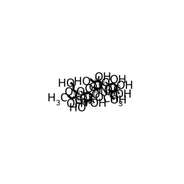 CC(=O)NC1[C@H](O[C@@H]2C(O)[C@H](O[C@@H]3C(CO)OC(C)C(O)[C@@H]3O)OC(CO)[C@@H]2O)OC(CO)[C@@H](O)[C@H]1O[C@@H]1OC(CO)[C@H](O)[C@H](O)C1O